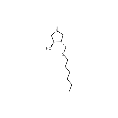 CCCCCCSC[C@H]1CNC[C@@H]1O